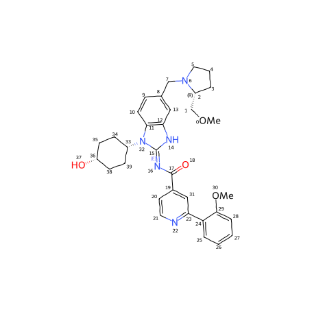 COC[C@H]1CCCN1Cc1ccc2c(c1)[nH]/c(=N\C(=O)c1ccnc(-c3ccccc3OC)c1)n2[C@H]1CC[C@@H](O)CC1